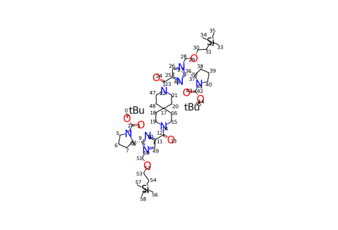 CC(C)(C)OC(=O)N1CCC[C@H]1c1nc(C(=O)N2CCC3(CC2)CCN(C(=O)c2cn(COCC[Si](C)(C)C)c([C@@H]4CCCN4C(=O)OC(C)(C)C)n2)CC3)cn1COCC[Si](C)(C)C